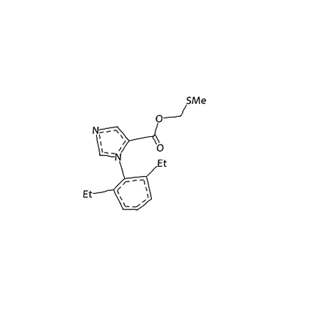 CCc1cccc(CC)c1-n1cncc1C(=O)OCSC